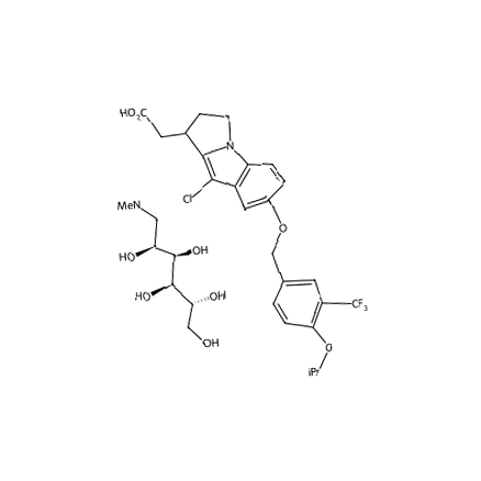 CC(C)Oc1ccc(COc2ccc3c(c2)c(Cl)c2n3CCC2CC(=O)O)cc1C(F)(F)F.CNC[C@H](O)[C@@H](O)[C@H](O)[C@H](O)CO